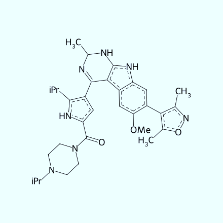 COc1cc2c3c([nH]c2cc1-c1c(C)noc1C)NC(C)N=C3c1cc(C(=O)N2CCN(C(C)C)CC2)[nH]c1C(C)C